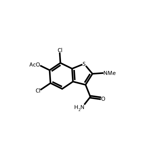 CNc1sc2c(Cl)c(OC(C)=O)c(Cl)cc2c1C(N)=O